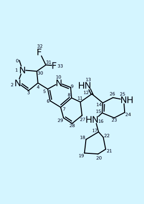 CN1N=CC(c2cc3c(cn2)C(C(=N)C2=C(NC4CCCCC4)CCNC2)CC=C3)C1C(F)F